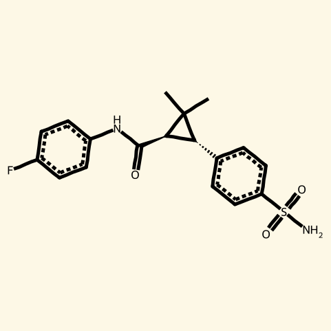 CC1(C)[C@H](C(=O)Nc2ccc(F)cc2)[C@H]1c1ccc(S(N)(=O)=O)cc1